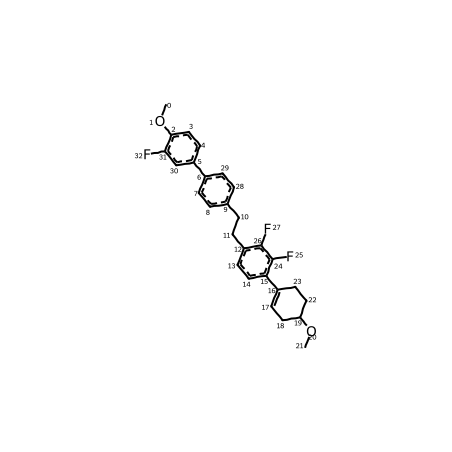 COc1ccc(-c2ccc(CCc3ccc(C4=CCC(OC)CC4)c(F)c3F)cc2)cc1F